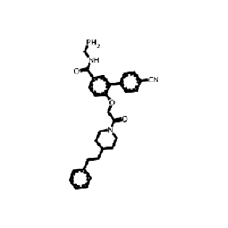 N#Cc1ccc(-c2cc(C(=O)NCP)ccc2OCC(=O)N2CCC(CCc3ccccc3)CC2)cc1